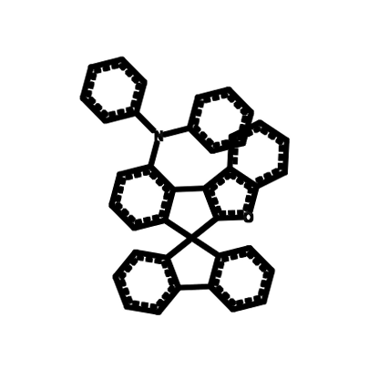 c1ccc(N(c2ccccc2)c2cccc3c2-c2c(oc4ccccc24)C32c3ccccc3-c3ccccc32)cc1